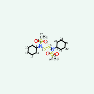 CCCCS(=O)(=O)N(SSN(C1CCCCC1)S(=O)(=O)CCCC)C1CCCCC1